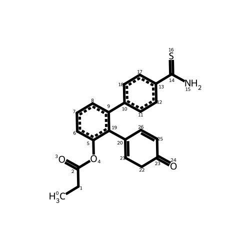 CCC(=O)Oc1cccc(-c2ccc(C(N)=S)cc2)c1C1=CCC(=O)C=C1